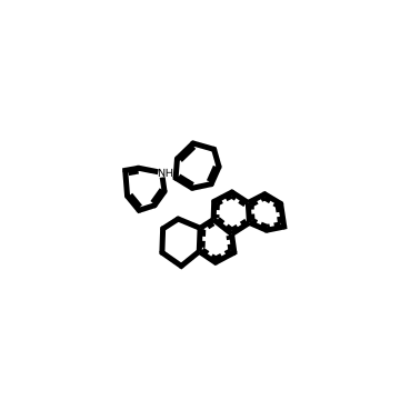 C1=CC=CCC=C1.C1=CC=CNC=C1.c1ccc2c(c1)ccc1c3c(ccc12)CCCC3